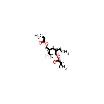 C=CC(=O)OCC(CC)CC(CC)COC(=O)C=C